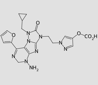 NN1CN=C(c2ccco2)c2c1nc1n(CCn3cc(OC(=O)O)cn3)c(=O)n(CC3CC3)n21